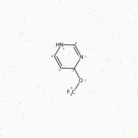 FC(F)(F)O[C]1C=CNC=N1